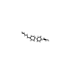 C=CCCCC1CCC([C@H]2CC[C@H](C#CC)CC2)CC1